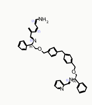 C=C(/C=C\C=C/N)/C=N/[C@@H](COCc1ccc(Cc2ccc(COC[C@H](/N=C/c3ccccn3)c3ccccc3)cc2)cc1)c1ccccc1